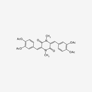 CC(=O)Oc1ccc(/C=c2\c(=O)n(C)/c(=C/c3ccc(OC(C)=O)c(OC(C)=O)c3)c(=O)n2C)cc1OC(C)=O